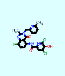 Cc1cccc(Cn2c(C)nc3c(F)ccc(NC(=O)c4cc(Cl)c(O)c(Cl)n4)c3c2=O)n1